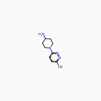 N#Cc1ccc(N2CCC(N)CC2)nn1